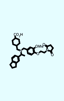 COc1cc(CN(CC2CCC(C(=O)O)CC2)C(C)c2ccc3c(c2)CCC3)ccc1OCCN1C(=O)CCC1=O